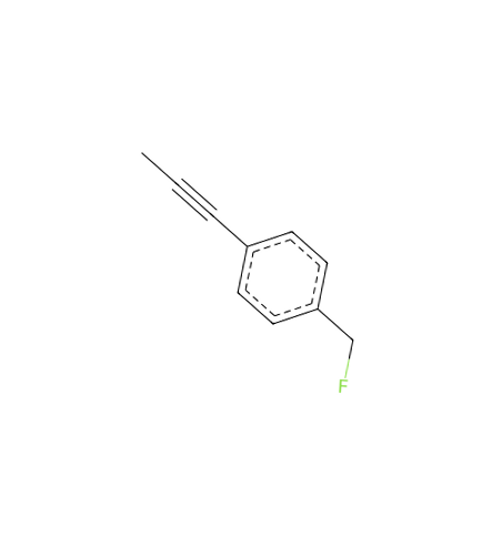 CC#Cc1ccc(CF)cc1